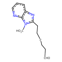 O=CCCCCCc1nc2cccnc2n1C(=O)O